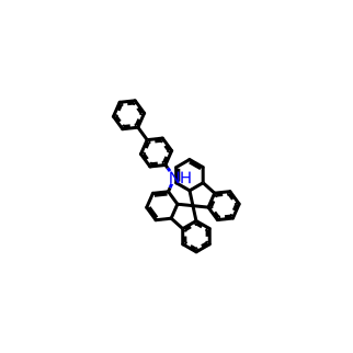 C1=CC2c3ccccc3C3(c4ccccc4C4C=CC=C(Nc5ccc(-c6ccccc6)cc5)C43)C2C=C1